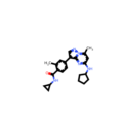 Cc1cc(-c2cnn3c(C)cc(NC4CCCC4)nc23)ccc1C(=O)NC1CC1